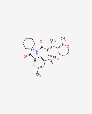 C=C/C(C(=O)NC1(C(=O)c2cc(C)cc(C)c2)CCCCC1)=C(/C)C1=C(C)OCCO1